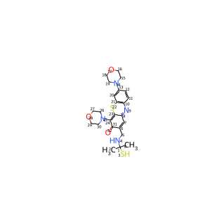 CC(C)(S)NCc1cc2nc3ccc(N4CCOCC4)cc3sc-2c(N2CCOCC2)c1=O